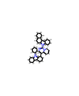 C1=CCN2C(=C1)C(c1cccc3c4ccccc4n(-c4ccccc4)c13)=CN=C2n1c2ccccc2c2c3ccccc3ccc21